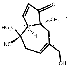 C[C@]12CC(CO)=CC[C@](C#N)(C(=O)O)[C@H]1C=CC2=O